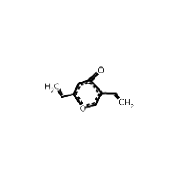 C=Cc1cc(=O)c(C=C)co1